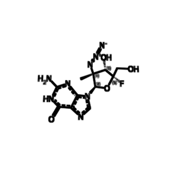 C[C@]1(N=[N+]=[N-])[C@H](n2cnc3c(=O)[nH]c(N)nc32)O[C@](F)(CO)[C@H]1O